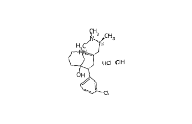 C[C@@H](CC(=N)CC(c1cccc(Cl)c1)C1(O)CCCCC1)N(C)C.Cl.Cl